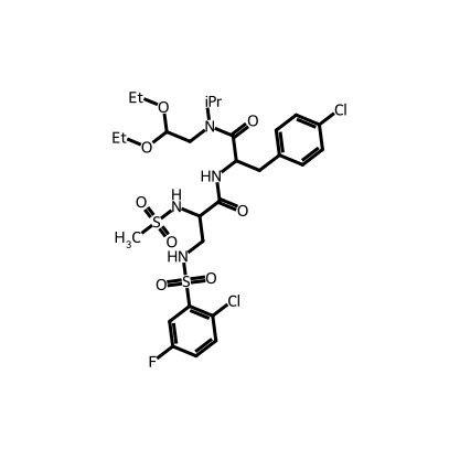 CCOC(CN(C(=O)C(Cc1ccc(Cl)cc1)NC(=O)C(CNS(=O)(=O)c1cc(F)ccc1Cl)NS(C)(=O)=O)C(C)C)OCC